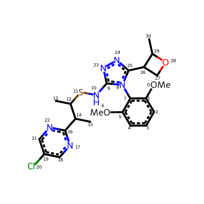 COc1cccc(OC)c1-n1c(NSC(C)C(C)c2ncc(Cl)cn2)nnc1C1COC1C